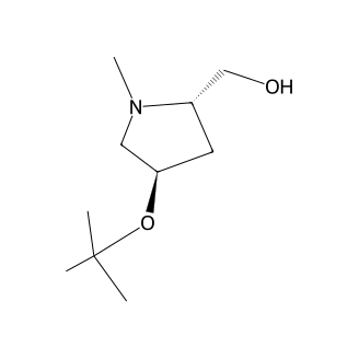 CN1C[C@H](OC(C)(C)C)C[C@H]1CO